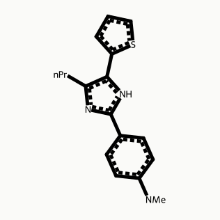 CCCc1nc(-c2ccc(NC)cc2)[nH]c1-c1cccs1